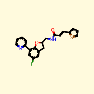 O=C(C=Cc1cccs1)NCC1Cc2cc(F)cc(-c3ccccn3)c2O1